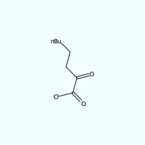 [CH2]CCCCCC(=O)C(=O)Cl